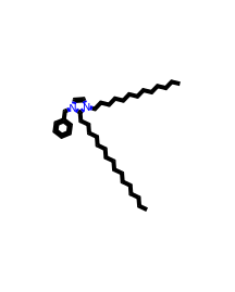 CCCCCCCCCCCCCCCCC1N(CCCCCCCCCCCCC)C=CN1Cc1ccccc1